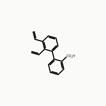 C=Cc1cccc(-c2ccccc2C(=O)O)c1C=C